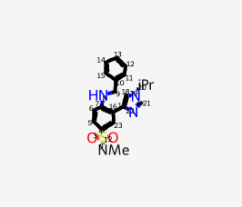 CNS(=O)(=O)c1ccc(NCc2ccccc2)c(-c2cn(C(C)C)cn2)c1